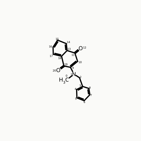 CN(Cc1ccccc1)C1=CC(=O)c2ccccc2C1=O